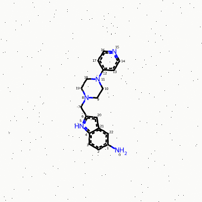 Nc1ccc2[nH]c(CN3CCN(c4ccncc4)CC3)cc2c1